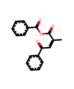 CC(=CC(=O)c1ccccc1)C(=O)OC(=O)c1ccccc1